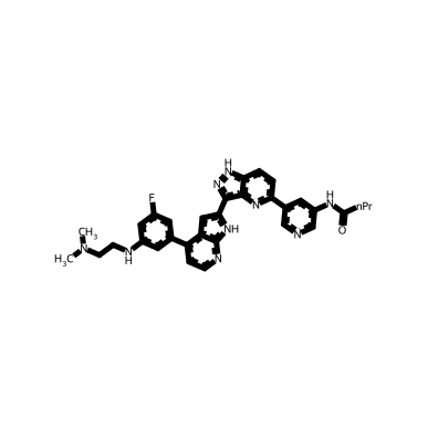 CCCC(=O)Nc1cncc(-c2ccc3[nH]nc(-c4cc5c(-c6cc(F)cc(NCCN(C)C)c6)ccnc5[nH]4)c3n2)c1